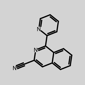 N#Cc1cc2ccccc2c(-c2ccccn2)n1